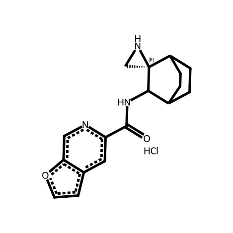 Cl.O=C(NC1C2CCC(CC2)[C@@]12CN2)c1cc2ccoc2cn1